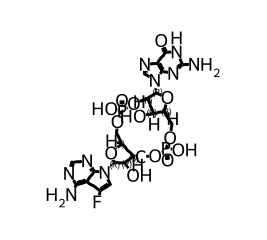 Nc1nc2c(ncn2[C@@H]2O[C@@H]3COP(=O)(O)OC[C@H]4[C@@H](O)[C@H](n5cc(F)c6c(N)ncnc65)O[C@@H]4COP(=O)(O)O[C@@H]2[C@@H]3O)c(=O)[nH]1